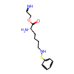 N=CCOC(=O)[C@@H](N)CCCCNSc1ccccc1